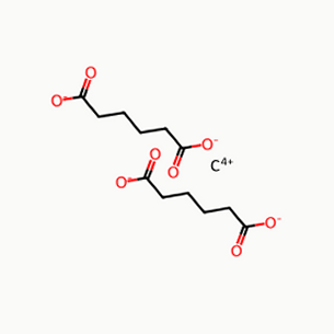 O=C([O-])CCCCC(=O)[O-].O=C([O-])CCCCC(=O)[O-].[C+4]